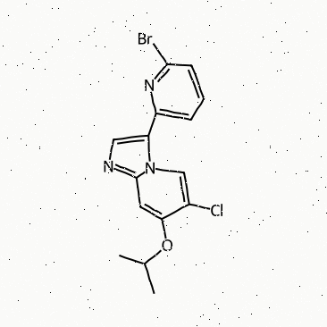 CC(C)Oc1cc2ncc(-c3cccc(Br)n3)n2cc1Cl